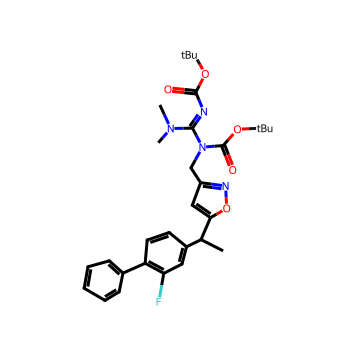 CC(c1ccc(-c2ccccc2)c(F)c1)c1cc(CN(C(=O)OC(C)(C)C)/C(=N/C(=O)OC(C)(C)C)N(C)C)no1